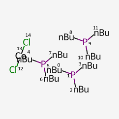 CCCCP(CCCC)CCCC.CCCCP(CCCC)CCCC.CCCCP(CCCC)CCCC.[Cl][Co][Cl]